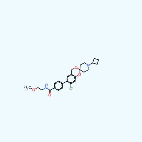 COCCNC(=O)c1ccc(-c2cc3c(cc2Cl)OC2(CCN(C4CCC4)CC2)OC3)cc1